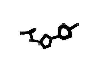 O=C(O)N[C@@H]1CCN(c2ccc(Cl)nn2)C1